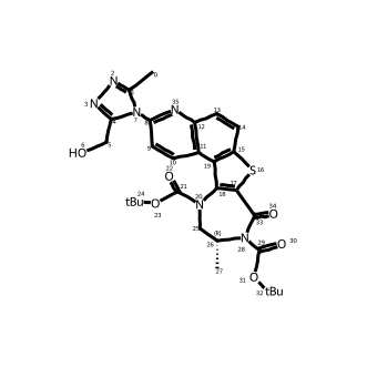 Cc1nnc(CO)n1-c1ccc2c(ccc3sc4c(c32)N(C(=O)OC(C)(C)C)C[C@@H](C)N(C(=O)OC(C)(C)C)C4=O)n1